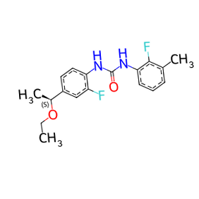 CCO[C@@H](C)c1ccc(NC(=O)Nc2cccc(C)c2F)c(F)c1